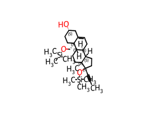 CC#C[C@]1(O[Si](C)(C)C)CC[C@H]2[C@@H]3CC=C4C[C@@H](O)CC[C@]4(CO[Si](C)(C)C)[C@H]3CC[C@@]21C